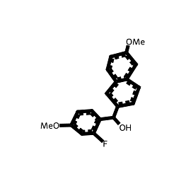 COc1ccc(C(O)c2ccc3cc(OC)ccc3c2)c(F)c1